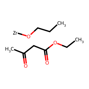 CCC[O][Zr].CCOC(=O)CC(C)=O